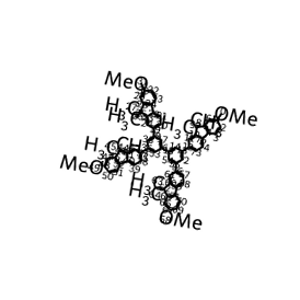 COc1ccc2c(c1)C(C)(C)c1cc(-c3cc(-c4cc(-c5ccc6c(c5)C(C)(C)c5cc(OC)ccc5-6)cc(-c5ccc6c(c5)C(C)(C)c5cc(OC)ccc5-6)c4)cc(-c4ccc5c(c4)C(C)(C)c4cc(OC)ccc4-5)c3)ccc1-2